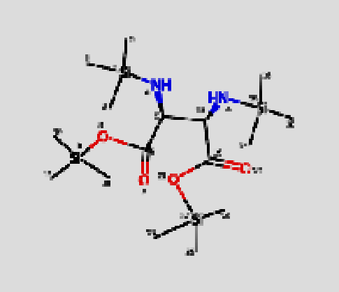 C[Si](C)(C)N[C@H](C(=O)O[Si](C)(C)C)[C@@H](N[Si](C)(C)C)C(=O)O[Si](C)(C)C